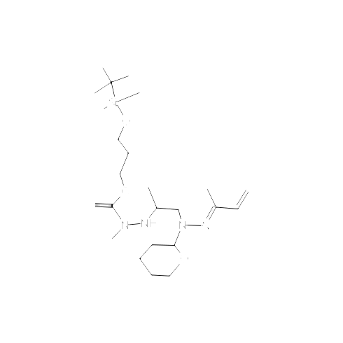 C=C/C(C)=N/N(CC(C)NN(C)C(=C)OCCCO[Si](C)(C)C(C)(C)C)C1CCCCO1